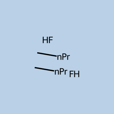 CCCC.CCCC.F.F